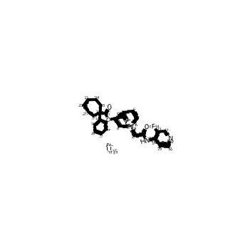 O=C(C[N+]12CCC(CC1)C(OC(=O)C1(c3ccccc3)CCCCCC1)C2)Nc1ccncc1F.[Cl-]